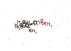 CCOC(=O)CCc1ccc(C#Cc2cc3c(cc2SCC)OC(C)(C)CC3(C)C)cc1